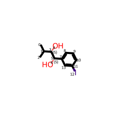 CC(C)[C@H](O)[C@@H](O)c1cccc(I)c1